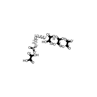 O=C(O)C(=O)O.O=C(O)C(=O)O.O=C([O-])C(=O)[O-].O=C([O-])C(=O)[O-].[Li+].[Li+].[Li+].[Li+].[Li+].[Li+].[Li+].[O-]B([O-])[O-]